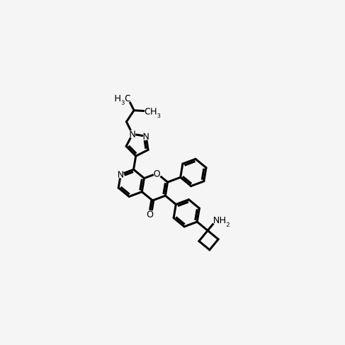 CC(C)Cn1cc(-c2nccc3c(=O)c(-c4ccc(C5(N)CCC5)cc4)c(-c4ccccc4)oc23)cn1